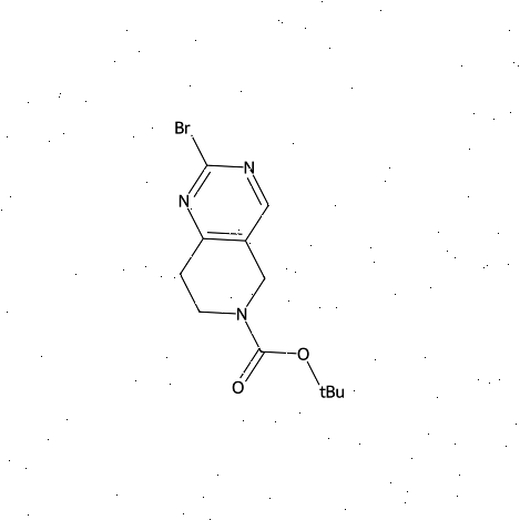 CC(C)(C)OC(=O)N1CCc2nc(Br)ncc2C1